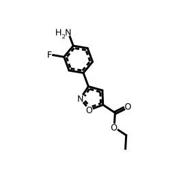 CCOC(=O)c1cc(-c2ccc(N)c(F)c2)no1